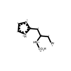 CC(C)CC(Cc1ncc[nH]1)NC(=O)O